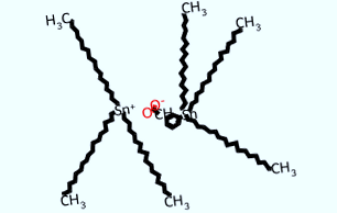 CC(=O)[O-].CCCCCCCCCCCCCCCCC[CH2][Sn+]([CH2]CCCCCCCCCCCCCCCCC)[CH2]CCCCCCCCCCCCCCCCC.CCCCCCCCCCCCCCCCC[CH2][Sn]([CH2]CCCCCCCCCCCCCCCCC)([CH2]CCCCCCCCCCCCCCCCC)[c]1ccccc1